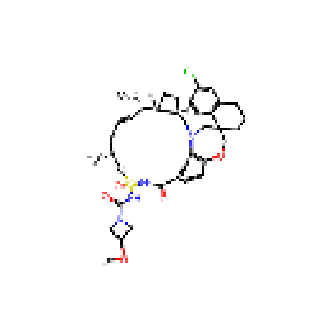 CCOC1CN(C(=O)NS2(=O)=NC(=O)c3ccc4c(c3)N(C[C@@H]3CC[C@H]3[C@@H](OC)/C=C/C[C@H](C)C2)C[C@@]2(CCCc3cc(Cl)ccc32)CO4)C1